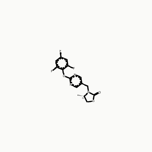 C[C@H]1COC(=O)N1Cc1cnc(Oc2c(F)cc(F)cc2F)nc1